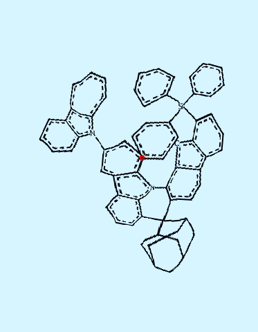 c1ccc([Si](c2ccccc2)(c2ccccc2)c2cccc3c2oc2c4c(ccc23)C2(c3cccc5c6cc(-n7c8ccccc8c8ccccc87)ccc6n-4c35)C3CC4CC(C3)CC2C4)cc1